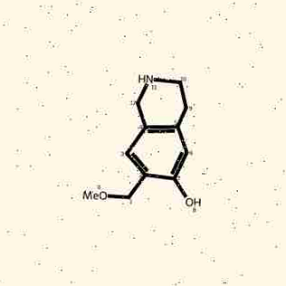 COCc1cc2c(cc1O)CCNC2